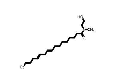 CCC=CCC=CCC=CCCCCCCCC(=O)N(C)CCO